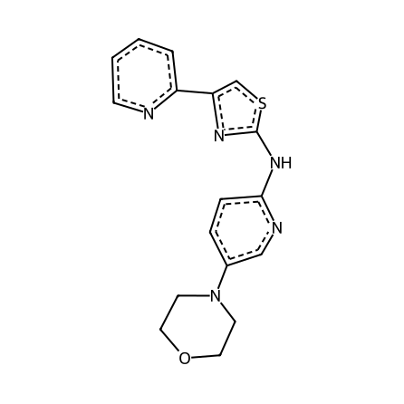 c1ccc(-c2csc(Nc3ccc(N4CCOCC4)cn3)n2)nc1